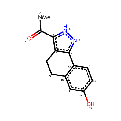 CNC(=O)c1[nH]nc2c1CCc1cc(O)ccc1-2